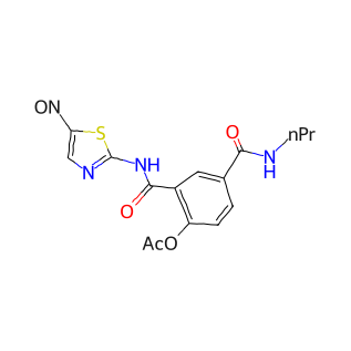 CCCNC(=O)c1ccc(OC(C)=O)c(C(=O)Nc2ncc(N=O)s2)c1